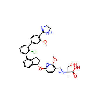 COc1cc(-c2cccc(-c3cccc4c3CC[C@@H]4Oc3ccc(CNC(C)(CO)C(=O)O)c(OC)n3)c2Cl)ccc1C1=NCCN1